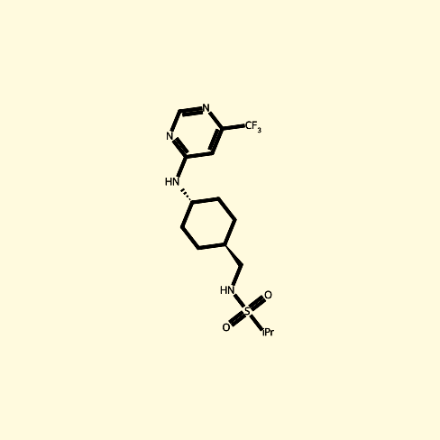 CC(C)S(=O)(=O)NC[C@H]1CC[C@H](Nc2cc(C(F)(F)F)ncn2)CC1